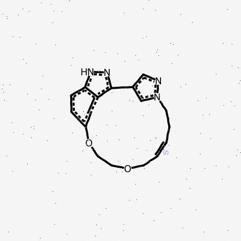 C1=C\COCCOc2ccc3[nH]nc(c3c2)-c2cnn(c2)CC/1